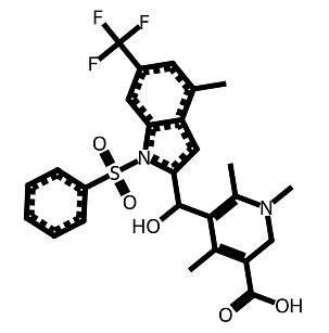 CC1=C(C(=O)O)CN(C)C(C)=C1C(O)c1cc2c(C)cc(C(F)(F)F)cc2n1S(=O)(=O)c1ccccc1